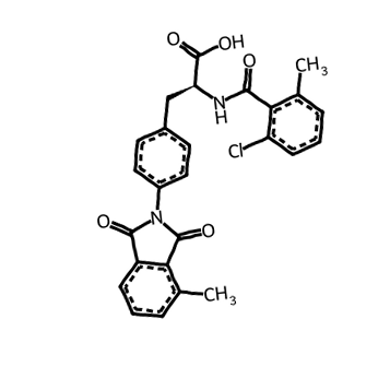 Cc1cccc(Cl)c1C(=O)N[C@@H](Cc1ccc(N2C(=O)c3cccc(C)c3C2=O)cc1)C(=O)O